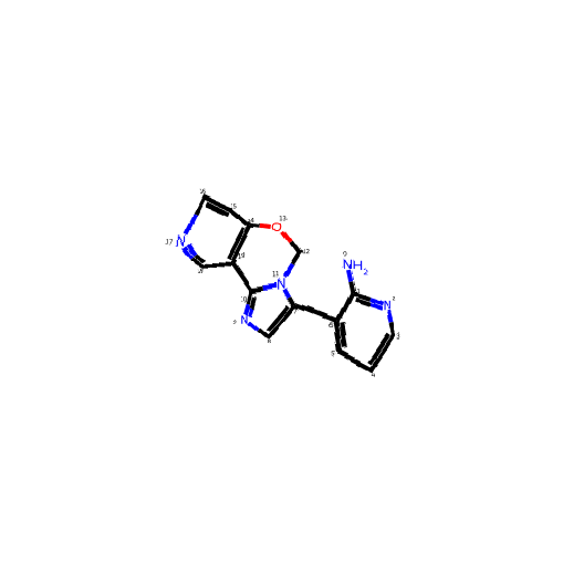 Nc1ncccc1-c1cnc2n1COc1ccncc1-2